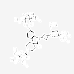 CC1(C)C[C@@H](CO)N(C2CC(N3C(=O)C4(CCN(C(=O)OC(C)(C)C)CC4)c4ccc(B5OC(C)(C)C(C)(C)O5)cc43)C2)C1